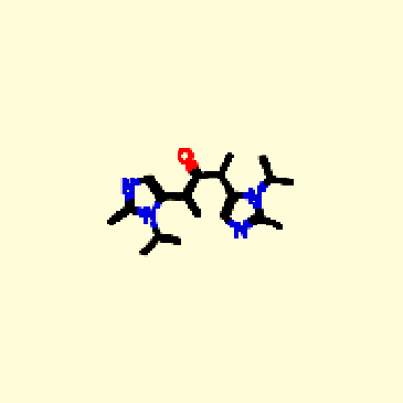 Cc1ncc(C(C)C(=O)C(C)c2cnc(C)n2C(C)C)n1C(C)C